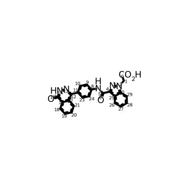 O=C(O)Cn1nc(C(=O)Nc2ccc(-c3n[nH]c(=O)c4ccccc34)cc2)c2ccccc21